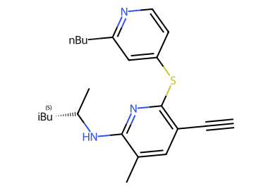 C#Cc1cc(C)c(NC(C)[C@@H](C)CC)nc1Sc1ccnc(CCCC)c1